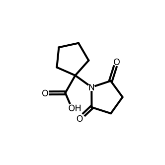 O=C1CCC(=O)N1C1(C(=O)O)CCCC1